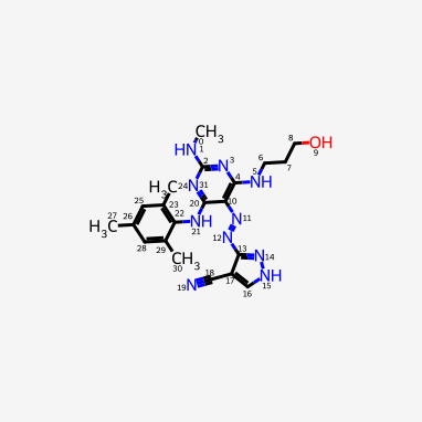 CNc1nc(NCCCO)c(N=Nc2n[nH]cc2C#N)c(Nc2c(C)cc(C)cc2C)n1